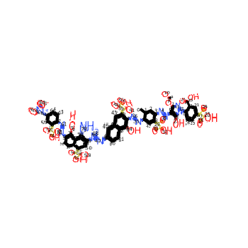 Cc1cc(N=Nc2c(OC=O)nn(-c3ccc(S(=O)(=O)O)cc3C(=O)O)c2O)c(S(=O)(=O)O)cc1N=Nc1c(S(=O)(=O)O)cc2cc(N=Nc3cc(S(=O)(=O)O)c4ccc(N=Nc5ccc([N+](=O)[O-])cc5S(=O)(=O)O)c(O)c4c3N)ccc2c1O